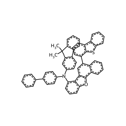 CC1(C)c2ccccc2-c2ccc(N(c3ccc(-c4ccccc4)cc3)c3cccc4oc5c6ccccc6c(-c6cccc7c6sc6ccccc67)cc5c34)cc21